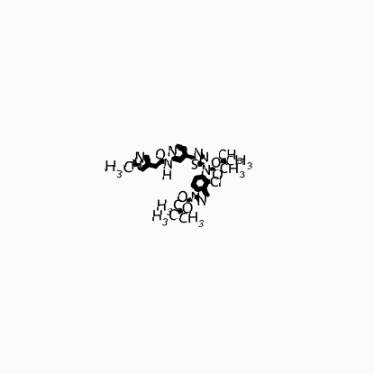 Cn1cc(CC(=O)Nc2cc(-c3nnc(N(C(=O)OC(C)(C)C)c4ccc5c(cnn5C(=O)OC(C)(C)C)c4Cl)s3)ccn2)cn1